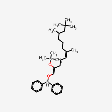 CC(=CCCC(=CO[SiH](c1ccccc1)c1ccccc1)O[Si](C)(C)C)CCCC(C)CC(C)(C)C